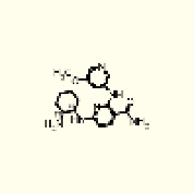 COc1cncc(Nc2nc(N[C@@H]3CCCC[C@@H]3N)ccc2C(N)=O)c1